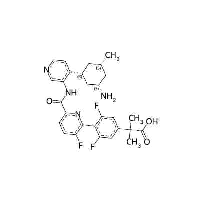 C[C@@H]1C[C@H](N)C[C@H](c2ccncc2NC(=O)c2ccc(F)c(-c3c(F)cc(C(C)(C)C(=O)O)cc3F)n2)C1